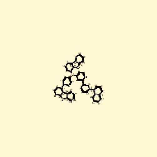 c1cc(-c2cccc(N(c3ccc(-c4cccc5sc6ccccc6c45)cc3)c3cccc4c3oc3ccccc34)c2)cc(-c2cccc3ccccc23)c1